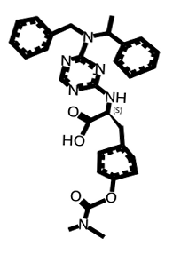 CC(c1ccccc1)N(Cc1ccccc1)c1ncnc(N[C@@H](Cc2ccc(OC(=O)N(C)C)cc2)C(=O)O)n1